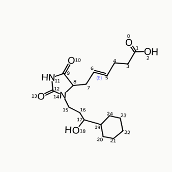 O=C(O)CC/C=C/CC1C(=O)NC(=O)N1CCC(O)C1CCCCC1